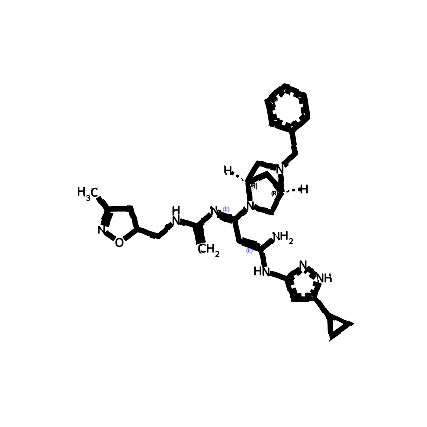 C=C(/N=C(\C=C(/N)Nc1cc(C2CC2)[nH]n1)N1C[C@H]2C[C@@H]1CN2Cc1ccccc1)NCC1CC(C)=NO1